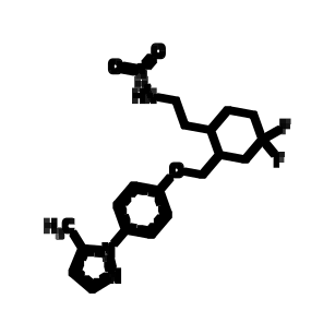 Cc1ccnn1-c1ccc(OCC2CC(F)(F)CCC2CCN[SH](=O)=O)cc1